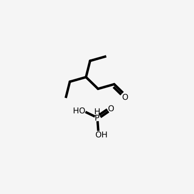 CCC(CC)CC=O.O=[PH](O)O